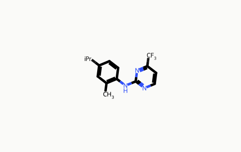 Cc1cc(C(C)C)ccc1Nc1nccc(C(F)(F)F)n1